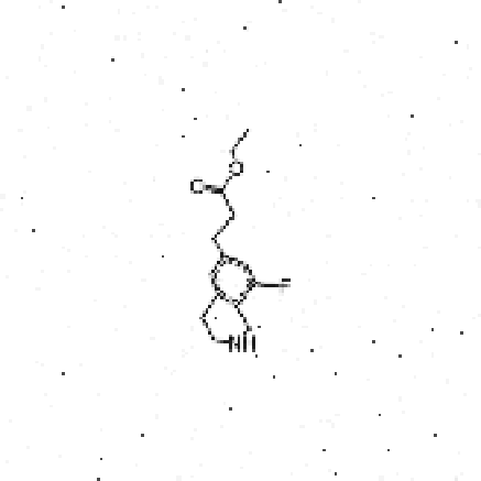 CCOC(=O)CCc1cc(F)c2c(c1)CCNC2